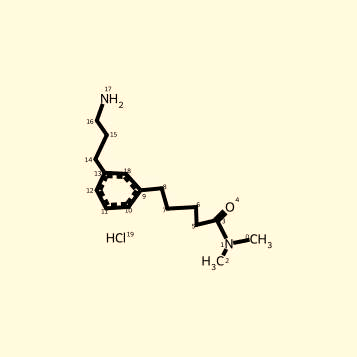 CN(C)C(=O)CCCCc1cccc(CCCN)c1.Cl